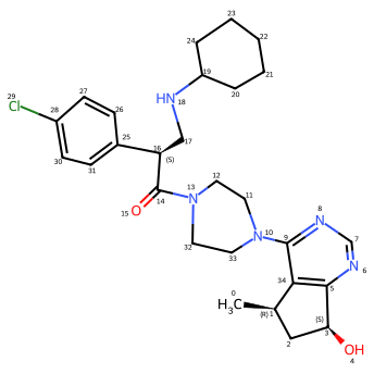 C[C@@H]1C[C@H](O)c2ncnc(N3CCN(C(=O)[C@H](CNC4CCCCC4)c4ccc(Cl)cc4)CC3)c21